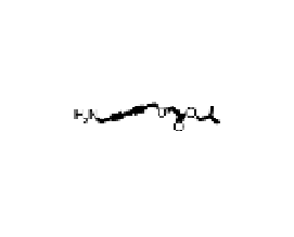 CC(C)COC(=O)COCC#CC#CCN